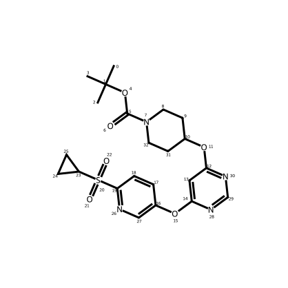 CC(C)(C)OC(=O)N1CCC(Oc2cc(Oc3ccc(S(=O)(=O)C4CC4)nc3)ncn2)CC1